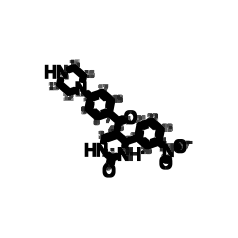 O=C1NC=C(C(=O)c2ccc(N3CCNCC3)cc2)C(c2cccc([N+](=O)[O-])c2)N1